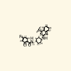 CN(C)c1nc(N[C@H]2CC[C@@H](CNC(=O)c3ccc(F)cc3Cl)CC2)nc2ccccc12